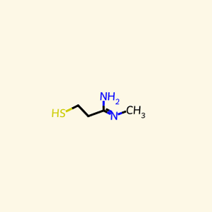 CN=C(N)CCS